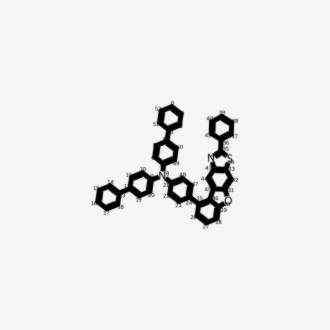 c1ccc(-c2ccc(N(c3ccc(-c4ccccc4)cc3)c3ccc(-c4cccc5oc6cc7sc(-c8ccccc8)nc7cc6c45)cc3)cc2)cc1